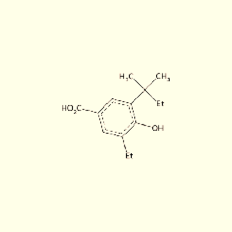 CCc1cc(C(=O)O)cc(C(C)(C)CC)c1O